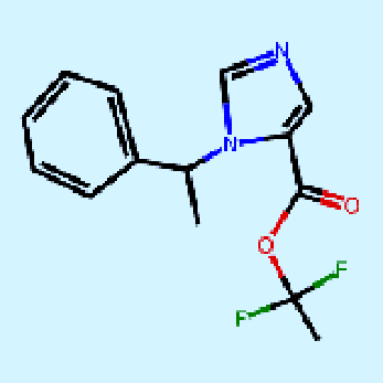 CC(c1ccccc1)n1cncc1C(=O)OC(C)(F)F